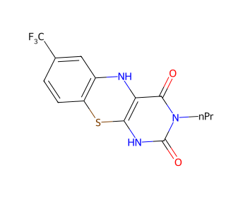 CCCn1c(=O)[nH]c2c(c1=O)Nc1cc(C(F)(F)F)ccc1S2